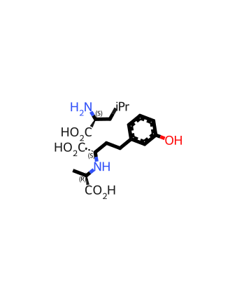 CC(C)C[C@H](N)C(=O)O.C[C@@H](N[C@@H](CCc1cccc(O)c1)C(=O)O)C(=O)O